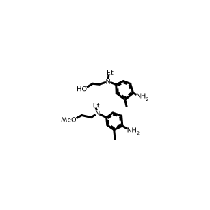 CCN(CCO)c1ccc(N)c(C)c1.CCN(CCOC)c1ccc(N)c(C)c1